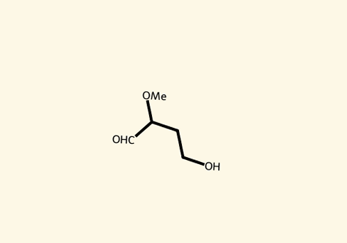 COC(C=O)CCO